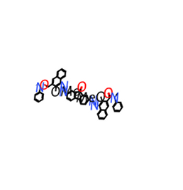 COc1c(CON(C)c2ccccc2)cc2ccccc2c1N=Nc1ccc2c(c1)C(=O)c1cc(N=Nc3c(OC)c(C(=O)N(C)c4ccccc4)cc4ccccc34)ccc1-2